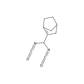 O=C=N[C](N=C=O)C1=C2CCC(C2)C1